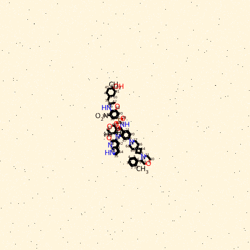 Cc1ccccc1[C@@H]1COCCN1C1CC2(CCN(c3ccc(C(=O)NS(=O)(=O)c4cc5c(c([N+](=O)[O-])c4)N[C@H](CC4CCC(C)(O)CC4)CO5)c(N4c5cc6cc[nH]c6nc5O[C@H]5COCC[C@@H]54)c3)CC2)C1